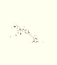 CCOC(=O)C1CN(C(=O)O)CCC1NC(=O)c1ccc(OCCOc2c(Cl)cc(C)cc2Cl)cc1